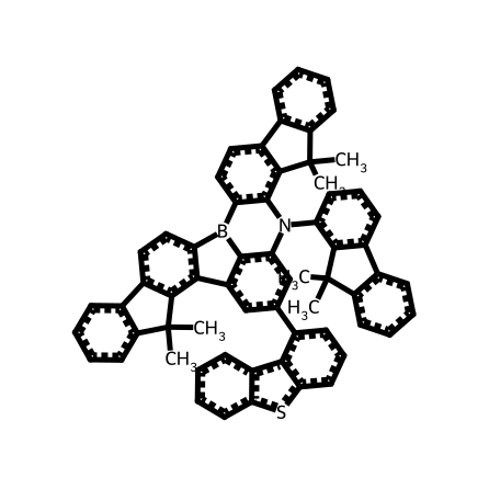 CC1(C)c2ccccc2-c2cccc(N3c4cc(-c5cccc6sc7ccccc7c56)cc5c4B(c4ccc6c(c4-5)C(C)(C)c4ccccc4-6)c4ccc5c(c43)C(C)(C)c3ccccc3-5)c21